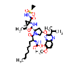 C=CCCCCCC(NC(=O)O)C(=O)N1C[C@H](Oc2nc3cc(OC)ccc3nc2C(C)C)C[C@H]1C(=O)N[C@]1(C(=O)NS(=O)(=O)C2CC2)C[C@H]1C=C